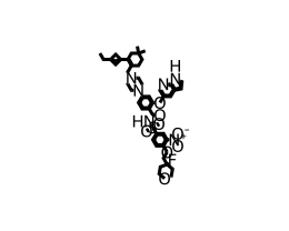 CCC12CC(C3=C(CN4CCN(c5ccc(C(=O)NS(=O)(=O)c6ccc(OCC7(F)CCOCC7)c([N+](=O)[O-])c6)c(Oc6cnc7[nH]ccc7c6)c5)CC4)CCC(C)(C)C3)(C1)C2